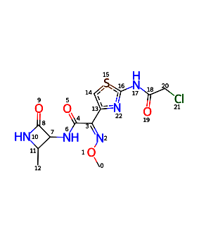 CON=C(C(=O)NC1C(=O)NC1C)c1csc(NC(=O)CCl)n1